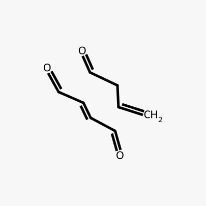 C=CCC=O.O=CC=CC=O